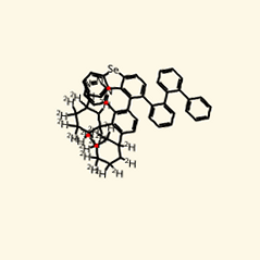 [2H]C1C([2H])([2H])C([2H])([2H])C([2H])([2H])C([2H])([2H])C1([2H])c1ccc(-c2c(-c3ccccc3-c3ccccc3-c3ccccc3)ccc3[se]c4ccccc4c23)c(-c2ccnnn2)c1C1([2H])C([2H])C([2H])([2H])C([2H])([2H])C([2H])([2H])C1([2H])[2H]